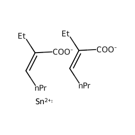 CCCC=C(CC)C(=O)[O-].CCCC=C(CC)C(=O)[O-].[Sn+2]